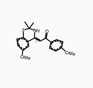 COc1ccc(C(=O)/C=C2\NC(C)(C)Sc3ccc(OC)cc32)cc1